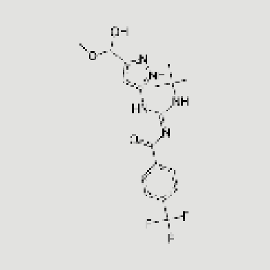 COC(O)c1cc(N/C(=N\C(=O)c2ccc(C(F)(F)F)cc2)NC(C)(C)C)[nH]n1